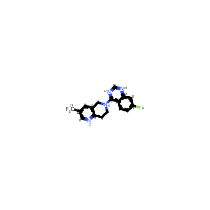 Fc1ccc2c(N3CCc4ncc(C(F)(F)F)cc4C3)ncnc2c1